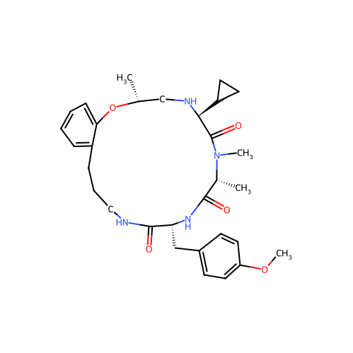 COc1ccc(C[C@H]2NC(=O)[C@@H](C)N(C)C(=O)[C@H](C3CC3)NC[C@@H](C)Oc3ccccc3CCCNC2=O)cc1